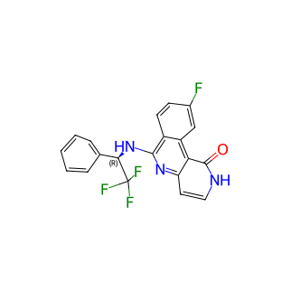 O=c1[nH]ccc2nc(N[C@H](c3ccccc3)C(F)(F)F)c3ccc(F)cc3c12